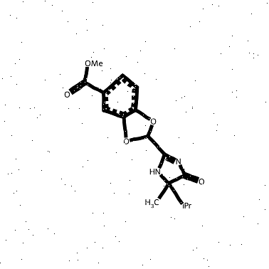 COC(=O)c1ccc2c(c1)OC(C1=NC(=O)C(C)(C(C)C)N1)O2